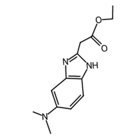 CCOC(=O)Cc1nc2cc(N(C)C)ccc2[nH]1